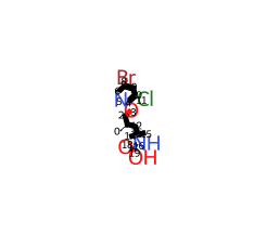 C[C@H](COc1ncc(Br)cc1Cl)CC(C)(C)NC(=O)O